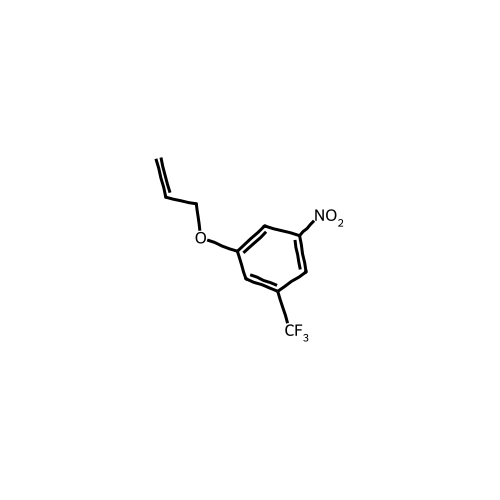 C=CCOc1cc([N+](=O)[O-])cc(C(F)(F)F)c1